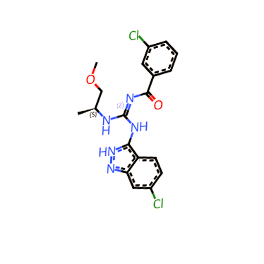 COC[C@H](C)N/C(=N/C(=O)c1cccc(Cl)c1)Nc1[nH]nc2cc(Cl)ccc12